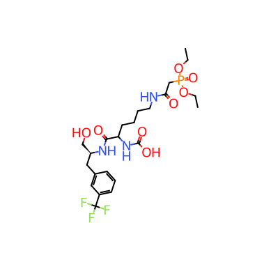 CCOP(=O)(CC(=O)NCCCCC(NC(=O)O)C(=O)N[C@H](CO)Cc1cccc(C(F)(F)F)c1)OCC